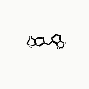 c1cc(Cc2ccc3c(c2)OCO3)c2c(c1)OCO2